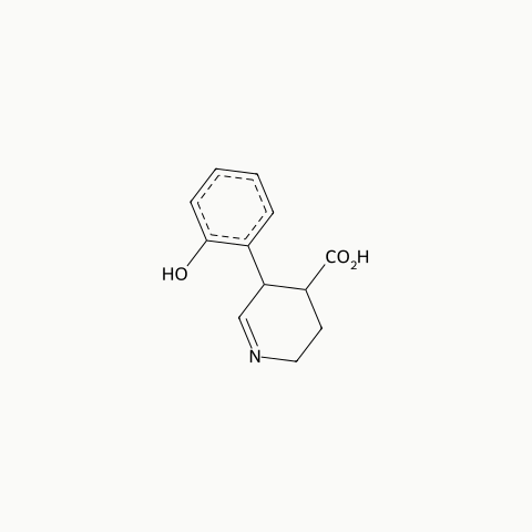 O=C(O)C1CCN=CC1c1ccccc1O